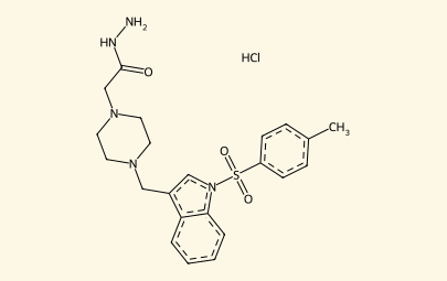 Cc1ccc(S(=O)(=O)n2cc(CN3CCN(CC(=O)NN)CC3)c3ccccc32)cc1.Cl